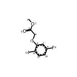 COC(=O)CSc1cc(F)ccc1I